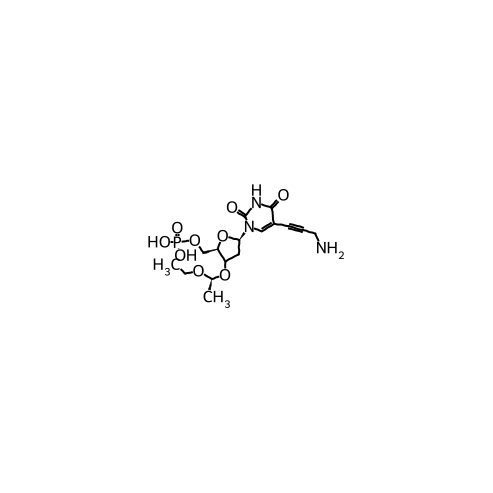 CCO[C@H](C)OC1C[C@H](n2cc(C#CCN)c(=O)[nH]c2=O)O[C@@H]1COP(=O)(O)O